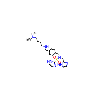 CCCN(CCC)CCCCNCc1ccc(CN(Cc2ncc[nH]2)S(=O)(=O)c2ncc[nH]2)cc1